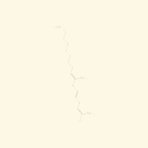 CC/C(=C/C/C=C/C/C(=C/CCCCCCC[C]=O)[N+](=O)[O-])[N+](=O)[O-]